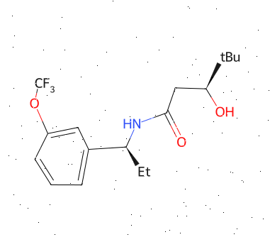 CC[C@H](NC(=O)C[C@H](O)C(C)(C)C)c1cccc(OC(F)(F)F)c1